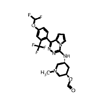 CN1C[C@H](Nc2nnc(-c3ccc(OC(F)F)cc3C(F)(F)F)c3cccn23)C[C@@H](OC=O)C1